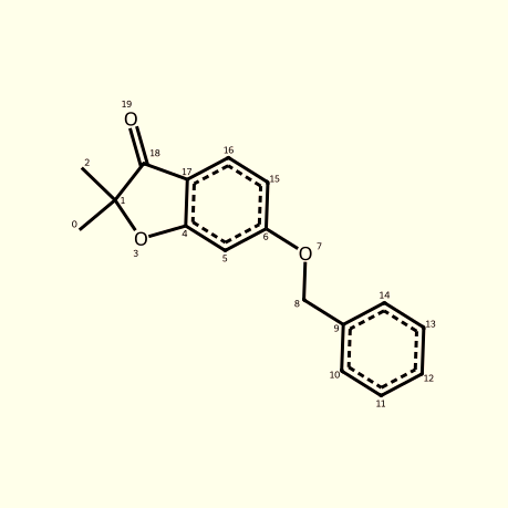 CC1(C)Oc2cc(OCc3ccccc3)ccc2C1=O